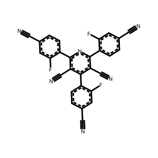 N#Cc1ccc(-c2nc(-c3ccc(C#N)cc3F)c(C#N)c(-c3ccc(C#N)cc3F)c2C#N)c(F)c1